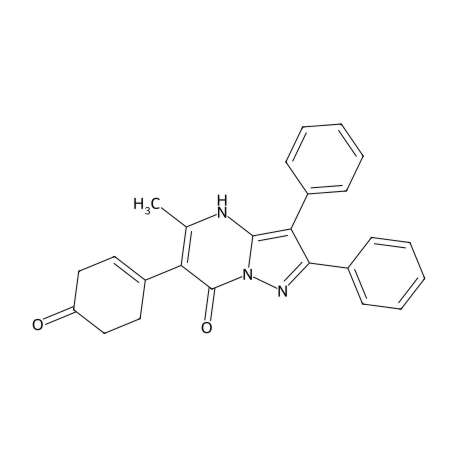 Cc1[nH]c2c(-c3ccccc3)c(-c3ccccc3)nn2c(=O)c1C1=CCC(=O)CC1